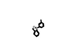 Cc1cccc(B2OCc3ccccc32)c1